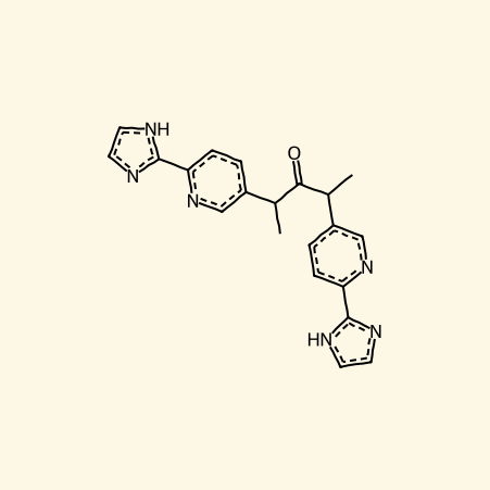 CC(C(=O)C(C)c1ccc(-c2ncc[nH]2)nc1)c1ccc(-c2ncc[nH]2)nc1